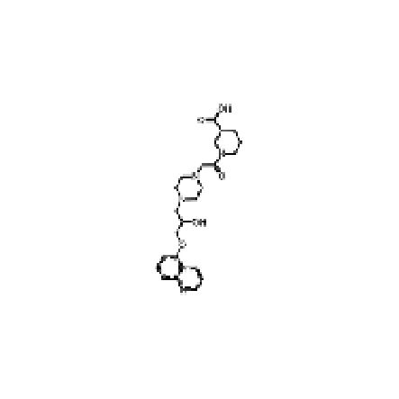 O=C(O)C1CCCN(C(=O)CN2CCN(CC(O)COc3cccc4ncccc34)CC2)C1